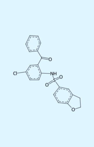 O=C(c1ccccc1)c1cc(Cl)ccc1NS(=O)(=O)c1ccc2c(c1)CCO2